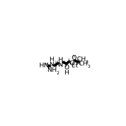 CCC(C)(C)C(=O)OCC(O)CNCCNC(=N)N